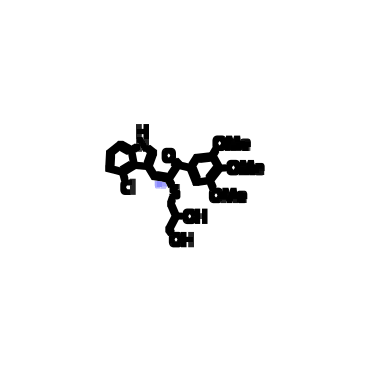 COc1cc(C(=O)/C(=C\c2c[nH]c3cccc(Cl)c23)SCC(O)CO)cc(OC)c1OC